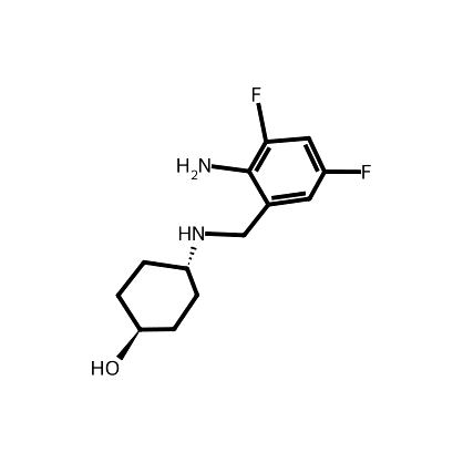 Nc1c(F)cc(F)cc1CN[C@H]1CC[C@H](O)CC1